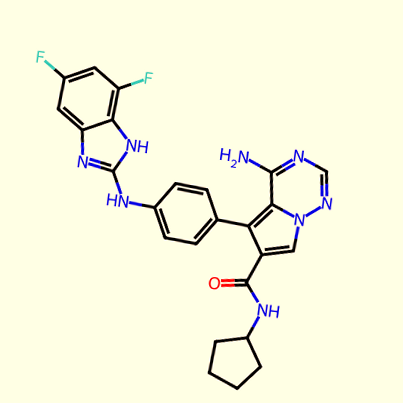 Nc1ncnn2cc(C(=O)NC3CCCC3)c(-c3ccc(Nc4nc5cc(F)cc(F)c5[nH]4)cc3)c12